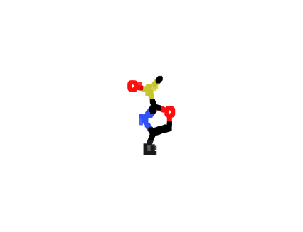 CCc1coc([S+](C)[O-])n1